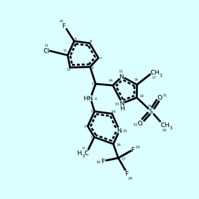 Cc1cc(NC(c2ccc(F)c(Cl)c2)c2nc(C)c(S(C)(=O)=O)[nH]2)cnc1C(F)(F)F